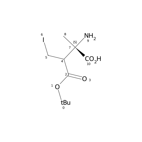 CC(C)(C)OC(=O)C(CI)[C@](C)(N)C(=O)O